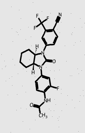 CC(=O)Nc1ccc(N2C(=O)N(c3ccc(C#N)c(C(F)(F)F)c3)[C@@H]3CCCC[C@H]32)cc1F